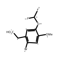 COc1cc(Br)c(CC(=O)O)cc1OC(F)F